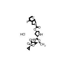 C=C[C@@H]1C[C@]1(NC(=O)[C@@H]1C[C@@H](OC(=O)N2Cc3cccc(F)c3C2)CN1)C(=O)S(=O)(=O)C1CC1.Cl